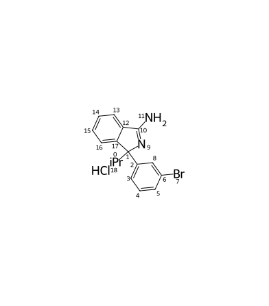 CC(C)C1(c2cccc(Br)c2)N=C(N)c2ccccc21.Cl